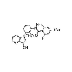 CC(C)(C)c1cc(F)c2c(=O)n(-c3cccc(-n4cc(C#N)c5ccccc54)c3C=O)ncc2c1